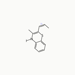 C/C=C\C1=C(C)N(I)c2ccccc2S1